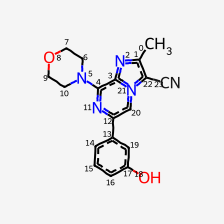 Cc1nc2c(N3CCOCC3)nc(-c3cccc(O)c3)cn2c1C#N